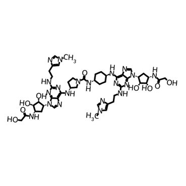 Cn1cnc(CCNc2nc(N[C@@H]3CCN(C(=O)N[C@H]4CC[C@H](Nc5nc(NCCc6cn(C)cn6)nc6c5ncn6[C@@H]5C[C@H](NC(=O)CO)[C@@H](O)[C@H]5O)CC4)C3)c3ncn([C@@H]4C[C@H](NC(=O)CO)[C@@H](O)[C@H]4O)c3n2)c1